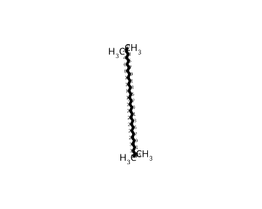 CC(C)CCCCCCCCCCCCCC[CH]CCCCCCCCCCCCCCCC(C)C